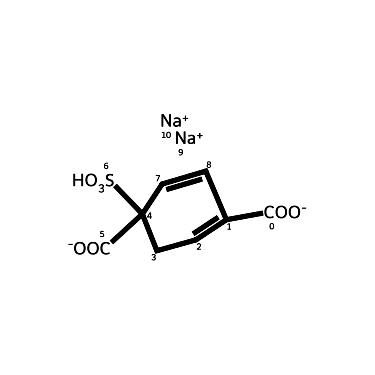 O=C([O-])C1=CCC(C(=O)[O-])(S(=O)(=O)O)C=C1.[Na+].[Na+]